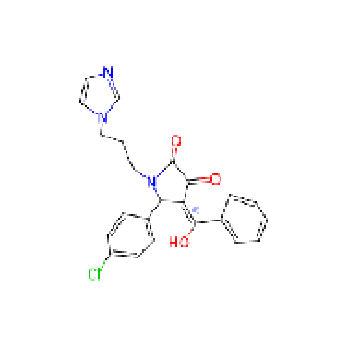 O=C1C(=O)N(CCCn2ccnc2)C(c2ccc(Cl)cc2)/C1=C(\O)c1ccccc1